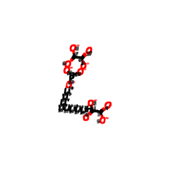 O=C([O-])C(=O)[O-].O=C([O-])C(=O)[O-].[Li+].[Li+].[Li+].[Li+].[Li+].[Li+].[Li+].[LiH].[O-]B([O-])[O-]